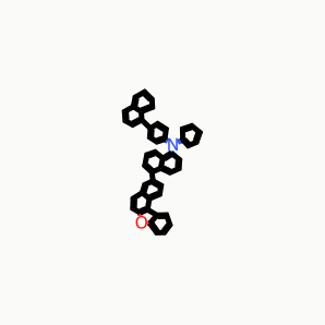 c1ccc(N(c2ccc(-c3cccc4ccccc34)cc2)c2cccc3c(-c4ccc5c(ccc6oc7ccccc7c65)c4)cccc23)cc1